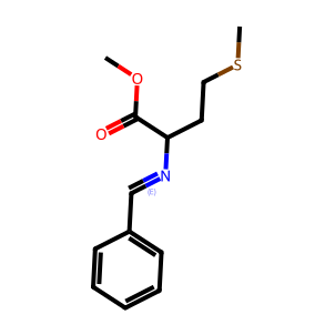 COC(=O)C(CCSC)/N=C/c1ccccc1